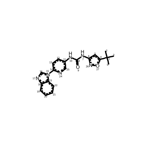 CC(C)(C)c1cc(NC(=O)Nc2ccc(-n3cnc4ccccc43)nc2)no1